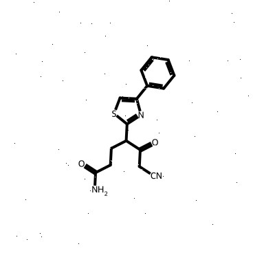 N#CCC(=O)C(CCC(N)=O)c1nc(-c2ccccc2)cs1